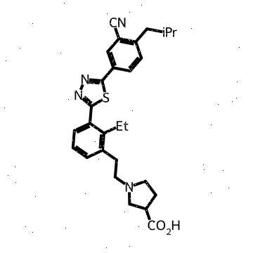 CCc1c(CCN2CCC(C(=O)O)C2)cccc1-c1nnc(-c2ccc(CC(C)C)c(C#N)c2)s1